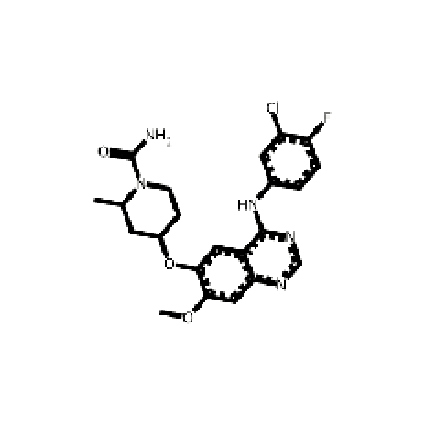 COc1cc2ncnc(Nc3ccc(F)c(Cl)c3)c2cc1OC1CCN(C(N)=O)C(C)C1